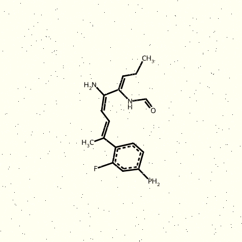 CC/C=C(NC=O)/C(N)=C\C=C(/C)c1ccc(P)cc1F